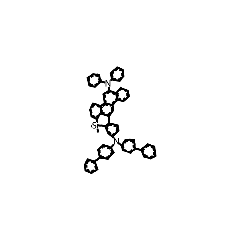 C[Si]1(C)c2cc(N(c3ccc(-c4ccccc4)cc3)c3ccc(-c4ccccc4)cc3)ccc2-c2cc3c4ccccc4c(N(c4ccccc4)c4ccccc4)cc3c3cccc1c23